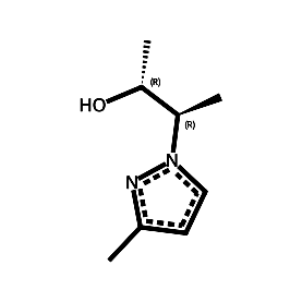 Cc1ccn([C@H](C)[C@@H](C)O)n1